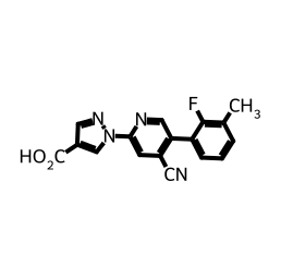 Cc1cccc(-c2cnc(-n3cc(C(=O)O)cn3)cc2C#N)c1F